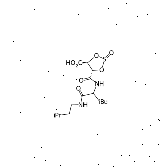 CCC(C)C(NC(=O)[C@H]1OS(=O)O[C@@H]1C(=O)O)C(=O)NCCC(C)C